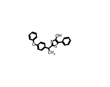 CC(c1ccc(Oc2ccccc2)cc1)c1nc(O)c(-c2ccccc2)s1